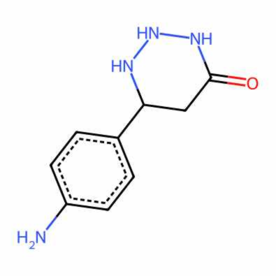 Nc1ccc(C2CC(=O)NNN2)cc1